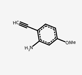 C#Cc1ccc(OC)cc1N